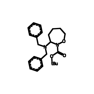 CC(C)(C)OC(=O)N1OCCCCC1N(Cc1ccccc1)Cc1ccccc1